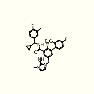 Cc1cc(C(NC(=O)c2cc(Cn3ccn(C)c3=N)cc(-c3ccc(F)cc3C(F)(F)F)c2F)C2CC2)ccc1F